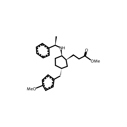 COC(=O)CC[C@H]1C[C@H](Cc2ccc(OC)cc2)CC[C@H]1N[C@H](C)c1ccccc1